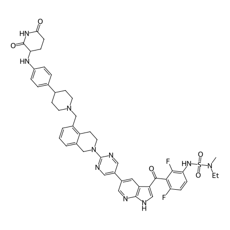 CCN(C)S(=O)(=O)Nc1ccc(F)c(C(=O)c2c[nH]c3ncc(-c4cnc(N5CCc6c(CN7CCC(c8ccc(NC9CCC(=O)NC9=O)cc8)CC7)cccc6C5)nc4)cc23)c1F